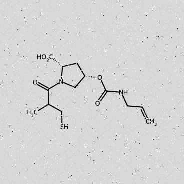 C=CCNC(=O)O[C@H]1C[C@@H](C(=O)O)N(C(=O)C(C)CS)C1